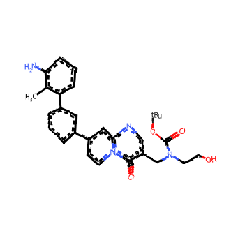 Cc1c(N)cccc1-c1cccc(-c2ccn3c(=O)c(CN(CCO)C(=O)OC(C)(C)C)cnc3c2)c1